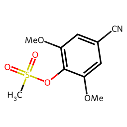 COc1cc(C#N)cc(OC)c1OS(C)(=O)=O